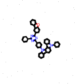 C1=CCC(c2nc(-c3ccc(-n4c5ccccc5c5ccc6c(c7ccccc7n6-c6ccccc6)c54)cc3)nc(-c3ccc4oc5ccccc5c4c3)n2)C=C1